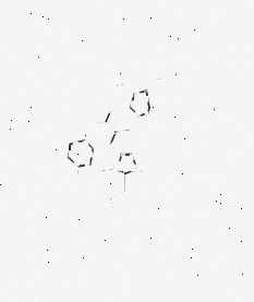 CCCCc1ncc(/C=C(\Cc2ccc(OC)c(OC)c2)C(=O)O)n1Cc1ccccc1Cl